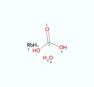 O.O=C(O)O.[RbH]